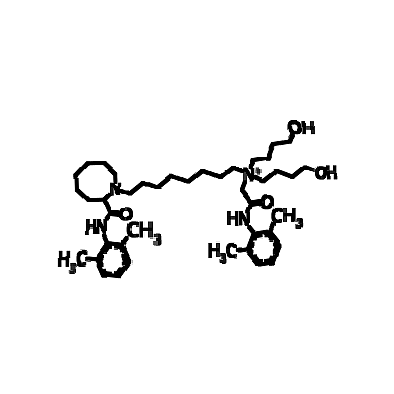 Cc1cccc(C)c1NC(=O)C[N+](CCCCO)(CCCCO)CCCCCCCCN1CCCCCCC1C(=O)Nc1c(C)cccc1C